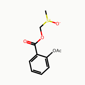 CC(=O)Oc1ccccc1C(=O)OC[S+](C)[O-]